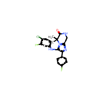 CC1(C)C(=O)NCc2nc(-c3ccc(F)cc3)c(Nc3ccc(Cl)c(F)c3)n21